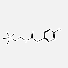 C[SH](C)(C)(C)CCOC(=O)Cc1ccc(Br)cc1